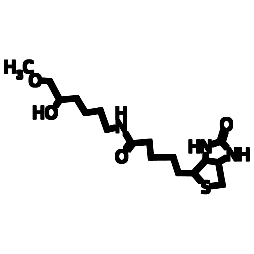 COCC(O)CCCCNC(=O)CCCCC1SCC2NC(=O)NC21